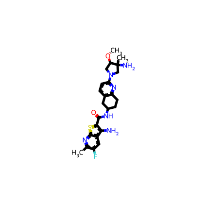 COC1CN(c2ccc3c(n2)CCC(NC(=O)c2sc4nc(C)c(F)cc4c2N)C3)CC1(C)N